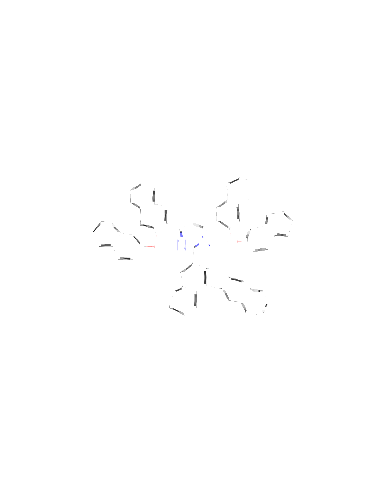 C/C=C\c1cc(-c2cc(-c3cc4ccccc4c4c3oc3ccc5ccccc5c34)nc(-c3cc4ccccc4c4c3oc3cc5ccccc5cc34)n2)c2oc3ccc4ccccc4c3c2c1C